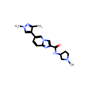 Cc1nn(C)cc1-c1ccc2nc(C(=O)NC3CCN(C#N)C3)cn2c1